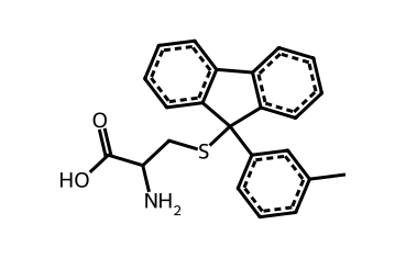 Cc1cccc(C2(SCC(N)C(=O)O)c3ccccc3-c3ccccc32)c1